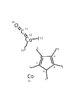 CC1=C(C)C(C)C(C)=C1C.O=[C]=[Co]([I])[I].[Co]